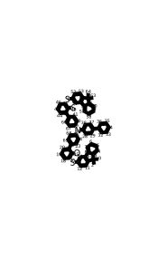 CC1(C)c2ccccc2-c2c1ccc1c2Oc2c(cccc2-c2ccc(N(c3ccc(-c4ccccc4)cc3)c3ccc(-c4cccc5c4Sc4c(ccc6c4-c4ccccc4C6(C)C)S5)cc3)cc2)S1